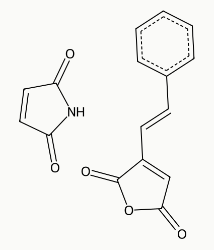 O=C1C=C(C=Cc2ccccc2)C(=O)O1.O=C1C=CC(=O)N1